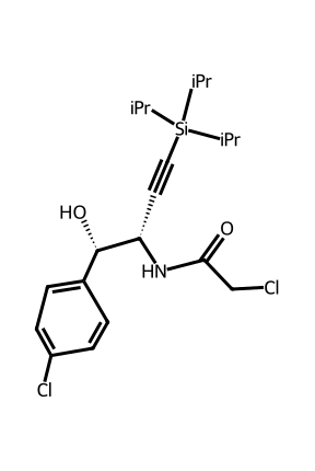 CC(C)[Si](C#C[C@H](NC(=O)CCl)[C@@H](O)c1ccc(Cl)cc1)(C(C)C)C(C)C